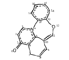 O=c1ccn2c3c1CC=CC3=COc1ccccc1-2